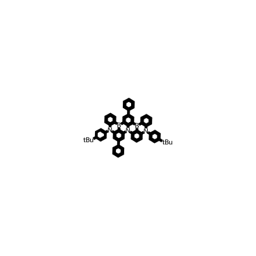 CC(C)(C)c1ccc(N2c3ccccc3B3c4cc(-c5ccccc5)cc5c4N(c4cc(-c6ccccc6)cc6c4B5c4ccccc4N6C4=CCC(C(C)(C)C)C=C4)c4cccc2c43)cc1